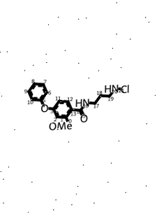 COc1cc(Oc2ccccc2)ccc1C(=O)NCCCNCl